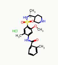 COc1cc(NC(=O)c2ccccc2C)c(C)cc1S(=O)(=O)N[C@H](C)C1CCNCC1.Cl